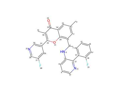 Cc1cc(C(C)Nc2cccnc2-c2ccccc2F)c2oc(-c3cncc(F)c3)c(C)c(=O)c2c1